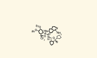 CCOc1cc(C(Nc2ccc3c(N)nccc3c2)(OC(=O)C(F)(F)F)C(=O)NCc2ccccc2S(=O)(=O)C2CCCC2)ccc1OC(C)C